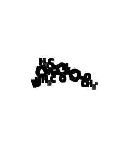 [CH2]C(=O)c1ccc(-n2ncc3c(C)n(-c4cccc(N5CCC5)c4)c(C)c3c2=O)cc1